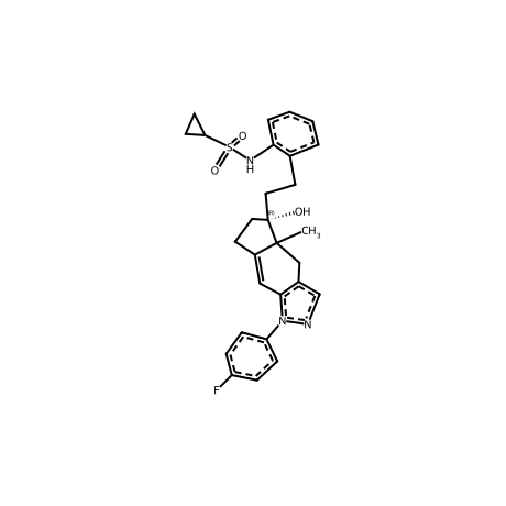 CC12Cc3cnn(-c4ccc(F)cc4)c3C=C1CC[C@@]2(O)CCc1ccccc1NS(=O)(=O)C1CC1